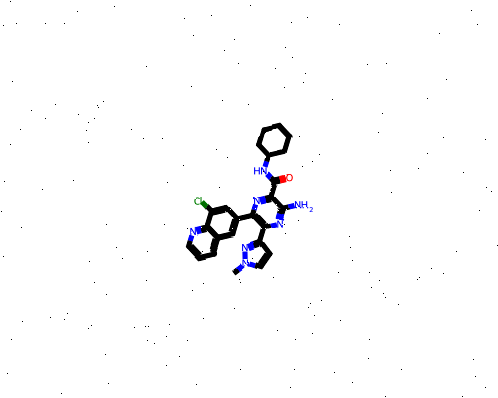 Cn1ccc(-c2nc(N)c(C(=O)NC3CCCCC3)nc2-c2cc(Cl)c3ncccc3c2)n1